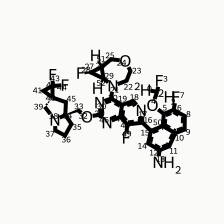 [2H]C([2H])(F)Oc1c(F)ccc2cc(N)cc(-c3ncc4c(N5CCOC[C@H]6[C@H](F)[C@H]65)nc(OC[C@@]56CCCN5C[C@@]5(CC5(F)F)C6)nc4c3F)c12